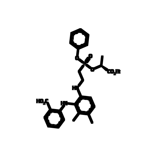 CCOC(=O)[C@H](C)OP(=O)(CCNc1ccc(C)c(C)c1Nc1ccccc1C(=O)O)Oc1ccccc1